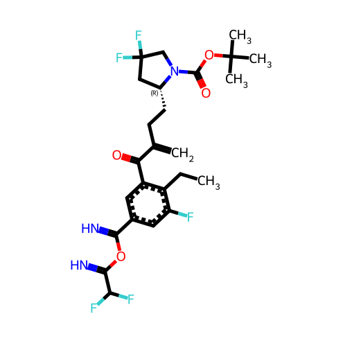 C=C(CC[C@@H]1CC(F)(F)CN1C(=O)OC(C)(C)C)C(=O)c1cc(C(=N)OC(=N)C(F)F)cc(F)c1CC